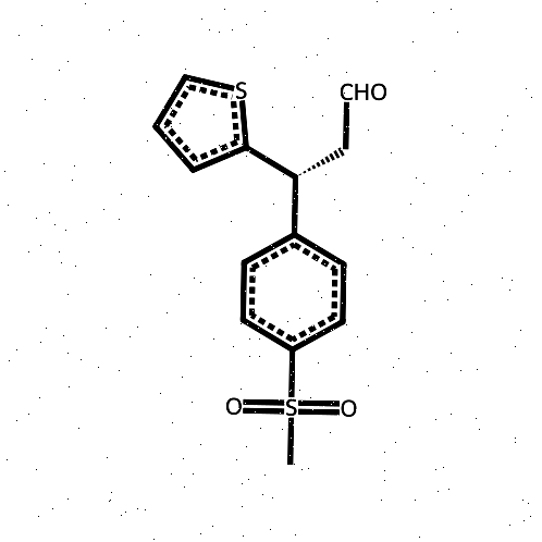 CS(=O)(=O)c1ccc([C@@H](CC=O)c2cccs2)cc1